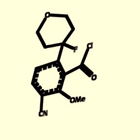 COc1c(C#N)ccc(C2(F)CCOCC2)c1C(=O)Cl